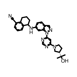 CC(C)(O)[C@H]1CCN(c2cc(-n3ncc4ccc(NC5CCCc6c(C#N)cccc65)cc43)ncn2)C1